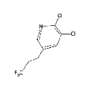 FC(F)(F)CCc1cnc(Cl)c(Cl)c1